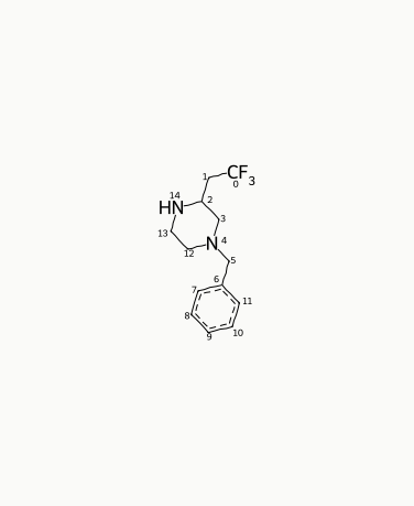 FC(F)(F)CC1CN(Cc2ccccc2)CCN1